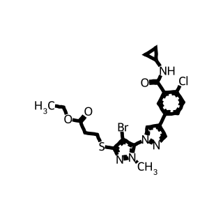 CCOC(=O)CCSc1nn(C)c(-n2cc(-c3ccc(Cl)c(C(=O)NC4CC4)c3)cn2)c1Br